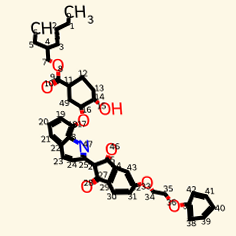 CCCCC(CC)COC(=O)C1CCC(O)C(Oc2cccc3ccc(C4C(=O)c5ccc(OCCOc6ccccc6)cc5C4=O)nc23)C1